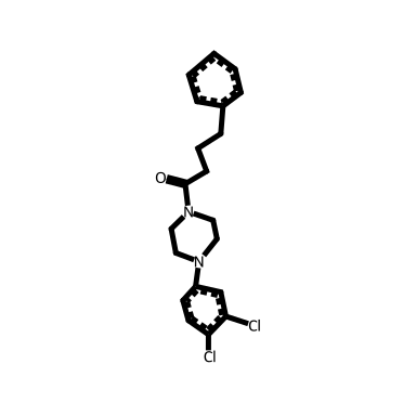 O=C(CCCc1ccccc1)N1CCN(c2ccc(Cl)c(Cl)c2)CC1